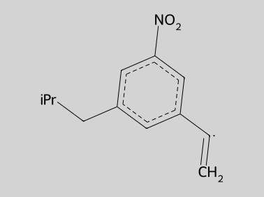 C=[C]c1cc(CC(C)C)cc([N+](=O)[O-])c1